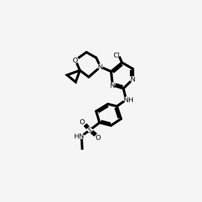 CNS(=O)(=O)c1ccc(Nc2ncc(Cl)c(N3CCOC4(CC4)C3)n2)cc1